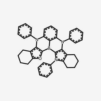 c1ccc(N2c3cccc4c3B(c3oc5c(c32)CCCC5)c2c(c3c(n2-c2ccccc2)CCCC3)N4c2ccccc2)cc1